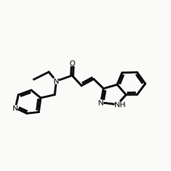 CCN(Cc1ccncc1)C(=O)/C=C/c1n[nH]c2ccccc12